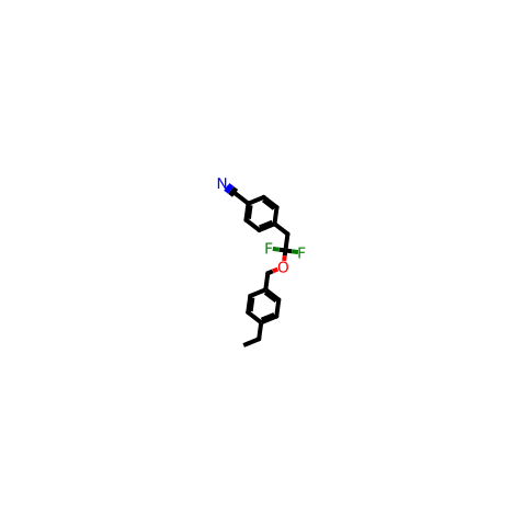 CCc1ccc(COC(F)(F)Cc2ccc(C#N)cc2)cc1